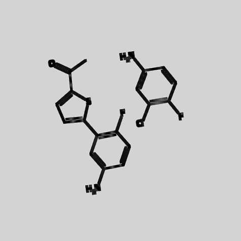 CC(=O)c1ccc(-c2cc(N)ccc2F)s1.Nc1ccc(F)c(Cl)c1